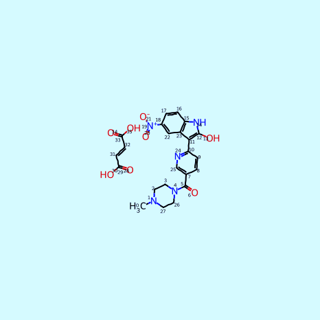 CN1CCN(C(=O)c2ccc(-c3c(O)[nH]c4ccc([N+](=O)[O-])cc34)nc2)CC1.O=C(O)/C=C/C(=O)O